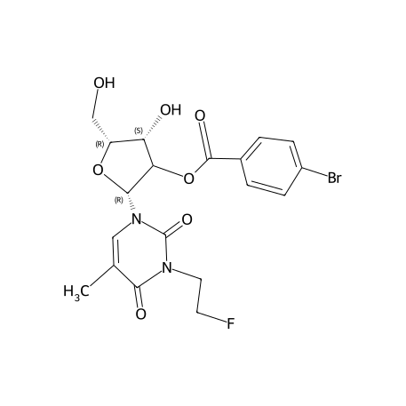 Cc1cn([C@@H]2O[C@H](CO)[C@H](O)C2OC(=O)c2ccc(Br)cc2)c(=O)n(CCF)c1=O